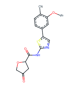 CC(C)Oc1cc(-c2cnc(NC(=O)C3CC(=O)CO3)s2)ccc1C#N